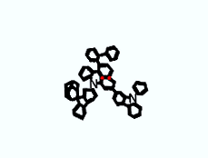 c1ccc(-c2ccccc2-c2ccccc2-c2ccccc2N(c2cccc(-c3ccc4c5ccccc5n(-c5ccccc5)c4c3)c2)c2ccc3c(c2)C2(c4ccccc4-3)C3CC4CC(C3)CC2C4)cc1